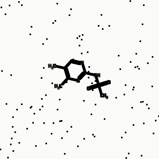 Cc1cnc(NS(C)(=O)=O)nc1C